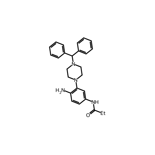 CCC(=O)Nc1ccc(N)c(N2CCN(C(c3ccccc3)c3ccccc3)CC2)c1